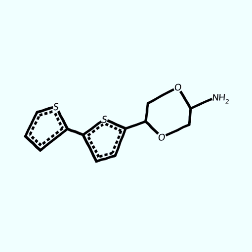 NC1COC(c2ccc(-c3cccs3)s2)CO1